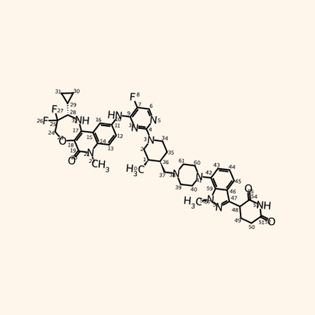 C[C@H]1CN(c2ncc(F)c(Nc3ccc4c(c3)c3c(c(=O)n4C)OCC(F)(F)[C@H](C4CC4)N3)n2)CC[C@H]1CN1CCN(c2cccc3c(C4CCC(=O)NC4=O)nn(C)c23)CC1